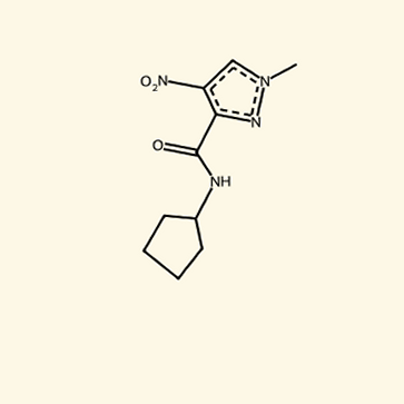 Cn1cc([N+](=O)[O-])c(C(=O)NC2CCCC2)n1